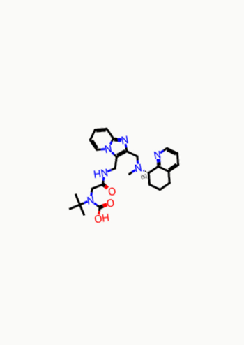 CN(Cc1nc2ccccn2c1CNC(=O)CN(C(=O)O)C(C)(C)C)[C@H]1CCCc2cccnc21